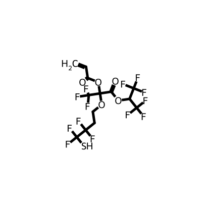 C=CC(=O)OC(OCCC(F)(F)C(F)(F)S)(C(=O)OC(C(F)(F)F)C(F)(F)F)C(F)(F)F